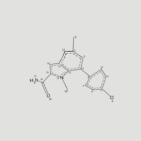 Cc1cc(-c2ccc(Cl)cc2)c2c(c1)cc(C(N)=O)n2C